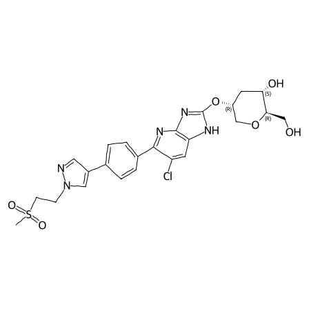 CS(=O)(=O)CCn1cc(-c2ccc(-c3nc4nc(O[C@H]5CO[C@H](CO)[C@@H](O)C5)[nH]c4cc3Cl)cc2)cn1